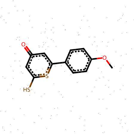 COc1ccc(-c2cc(=O)cc(S)s2)cc1